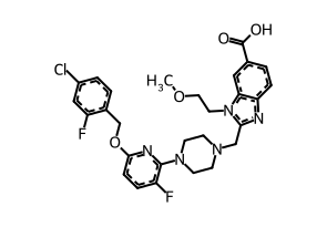 COCCn1c(CN2CCN(c3nc(OCc4ccc(Cl)cc4F)ccc3F)CC2)nc2ccc(C(=O)O)cc21